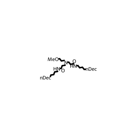 CCCCCCCCCCCCCCNC(=O)CCN(CCCOC)CCC(=O)NCCCCCCCCCCCCCC